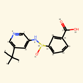 CC(C)(C)c1cncc(N[S+]([O-])c2cccc(C(=O)O)c2)c1